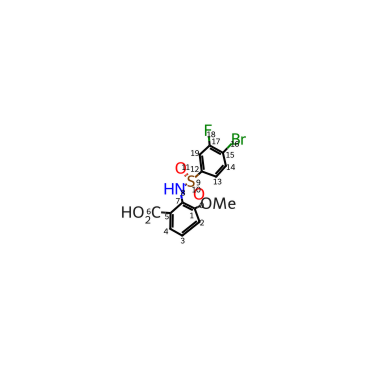 COc1cccc(C(=O)O)c1NS(=O)(=O)c1ccc(Br)c(F)c1